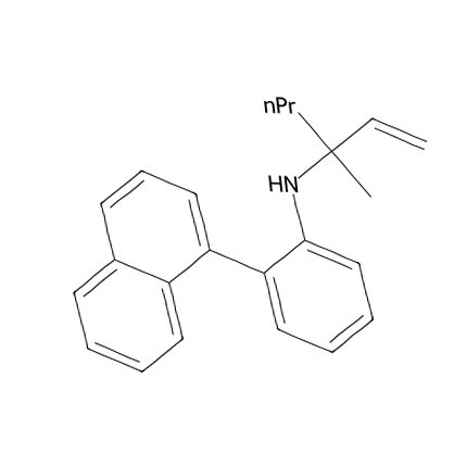 C=CC(C)(CCC)Nc1ccccc1-c1cccc2ccccc12